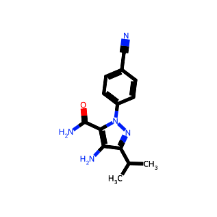 CC(C)c1nn(-c2ccc(C#N)cc2)c(C(N)=O)c1N